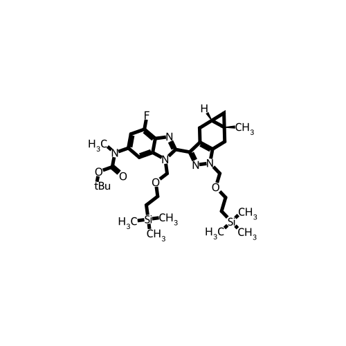 CN(C(=O)OC(C)(C)C)c1cc(F)c2nc(-c3nn(COCC[Si](C)(C)C)c4c3C[C@@H]3C[C@]3(C)C4)n(COCC[Si](C)(C)C)c2c1